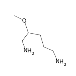 COC(CN)CCCN